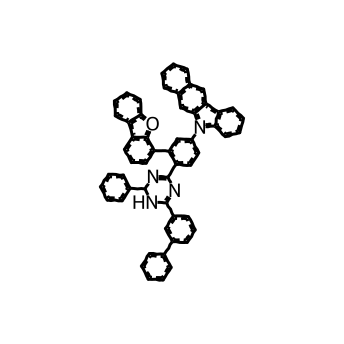 c1ccc(-c2cccc(C3=NC(c4ccc(-n5c6ccccc6c6cc7ccccc7cc65)cc4-c4cccc5c4oc4ccccc45)=NC(c4ccccc4)N3)c2)cc1